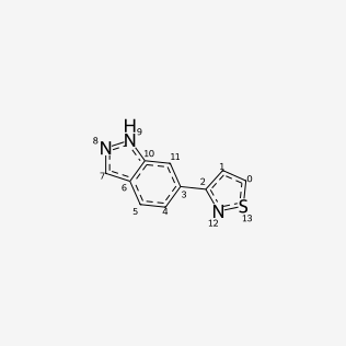 c1cc(-c2ccc3cn[nH]c3c2)ns1